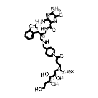 CCCCCCN(CCC(=O)N1CCC(CNC[C@H](CNC(=O)c2nc(Cl)c(N)nc2N)Cc2ccccc2C)CC1)C[C@@H](O)[C@@H](O)[C@H](O)CCO